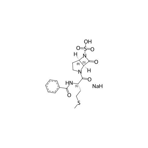 CSCC[C@H](NC(=O)c1ccccc1)C(=O)N1CC[C@@H]2[C@H]1C(=O)N2S(=O)(=O)O.[NaH]